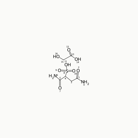 NC(=O)CC(C(N)=O)S(=O)(=O)O.O=C(O)CO